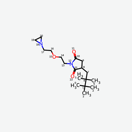 CC(C)(C)C(C)(C)CC1CC(=O)N(CCOCCN2CC2)C1=O